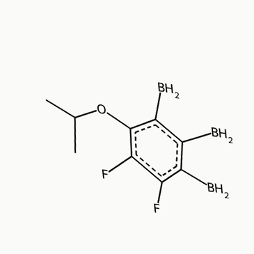 Bc1c(B)c(F)c(F)c(OC(C)C)c1B